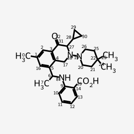 Cc1cc2c(c(C(C)Nc3ccccc3C(=O)O)c1)CN(N1CCC(C)(C)CC1)C(C1CC1)C2=O